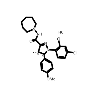 COc1ccc([C@H]2[C@H](C)C(C(=O)NN3CCCCCC3)=NN2c2ccc(Cl)cc2Cl)cc1.Cl